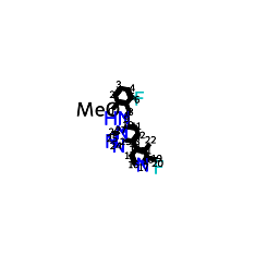 COc1cccc(F)c1CNc1ccc(-c2ccnc(CF)c2C)c2nncn12